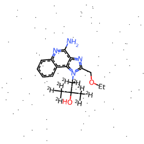 [2H]C([2H])([2H])C(O)(C([2H])([2H])[2H])C([2H])([2H])n1c(COCC)nc2c(N)nc3ccccc3c21